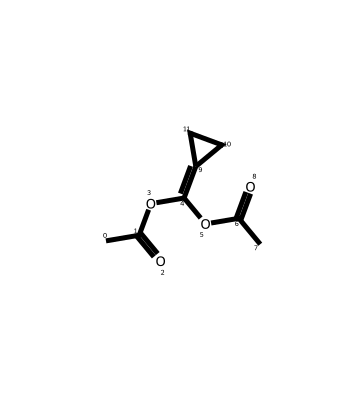 CC(=O)OC(OC(C)=O)=C1CC1